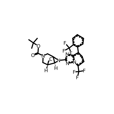 CC(C)(C)OC(=O)N1C[C@@H]2CC[C@]3(C1)[C@H]2N3c1nc2c(-c3ccccc3C(F)(F)F)ccc(C(F)(F)F)n2n1